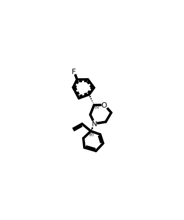 C=C[C@@]1(N2CCO[C@@H](c3ccc(F)cc3)C2)C=CC=CC1